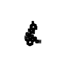 CC=CC1(NS(=O)(=O)c2nc3ncc(C)cn3n2)C(C)=CC=CC1C(=O)O